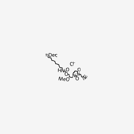 CCCCCCCCCCCCCCCCCCNC(=O)OCC(Cn1ccc(=O)n(CC[N+](C)(C)C)c1=O)OC.[Cl-]